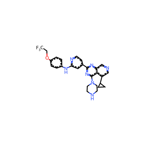 FC(F)(F)COc1ccc(Nc2cc(-c3nc(N4CCNCC4)c4c(C5CC5)cncc4n3)ccn2)cc1